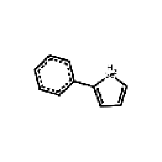 C1=C[SeH2]C(c2ccccc2)=C1